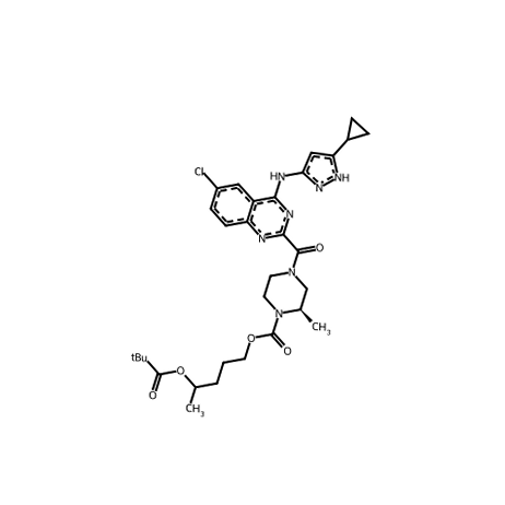 CC(CCCOC(=O)N1CCN(C(=O)c2nc(Nc3cc(C4CC4)[nH]n3)c3cc(Cl)ccc3n2)C[C@H]1C)OC(=O)C(C)(C)C